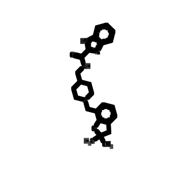 CC1(C)Cc2cccc(CN3CCC(CNC(=O)c4nc5ccccc5[nH]4)CC3)c2O1